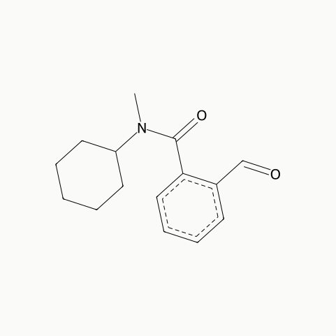 CN(C(=O)c1ccccc1C=O)C1CCCCC1